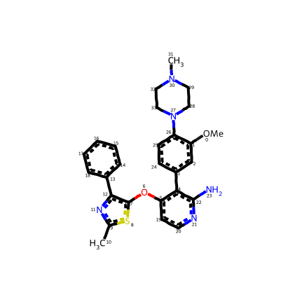 COc1cc(-c2c(Oc3sc(C)nc3-c3ccccc3)ccnc2N)ccc1N1CCN(C)CC1